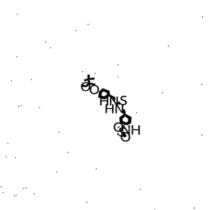 COC(COc1ccc(CNC(=S)NCc2ccc(NS(C)(=O)=O)cc2)cc1)C(C)(C)C